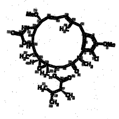 COc1cc2cc(c1Cl)N(C)C(=O)C[C@H](OC(=O)[C@H](C)N(C)C)[C@]1(C)O[C@H]1[C@H](C)[C@@H]1CC(NC(=O)O1)[C@H](OC)/C=C/C=C(\C)C2